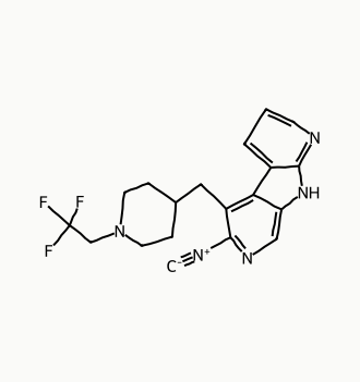 [C-]#[N+]c1ncc2[nH]c3ncccc3c2c1CC1CCN(CC(F)(F)F)CC1